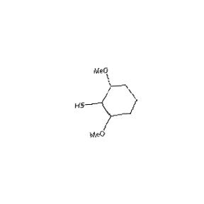 COC1CCCC(OC)C1S